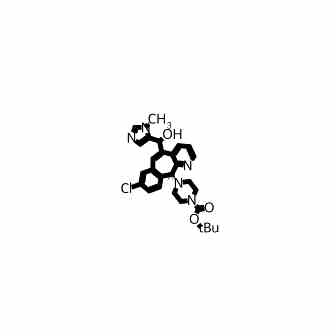 Cn1cncc1C(O)C1=Cc2cc(Cl)ccc2[C@@H](N2CCN(C(=O)OC(C)(C)C)CC2)c2ncccc21